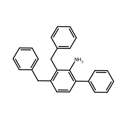 Nc1c(-c2ccccc2)ccc(Cc2ccccc2)c1Cc1ccccc1